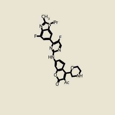 CC(=O)c1c(C2CNCCO2)c2ccc(Nc3ncc(F)c(-c4cc(F)c5nc(C)n(C(C)C)c5c4)n3)cc2oc1=O